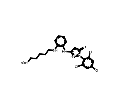 CCCCCCCCCCCCCCCNc1ccccc1Nc1cc(=O)n(-c2c(Cl)cc(Cl)cc2Cl)[nH]1